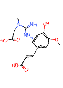 CN(CC(=O)O)C(=N)N.COc1cc(C=CC(=O)O)ccc1O